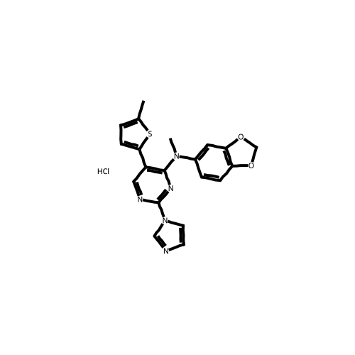 Cc1ccc(-c2cnc(-n3ccnc3)nc2N(C)c2ccc3c(c2)OCO3)s1.Cl